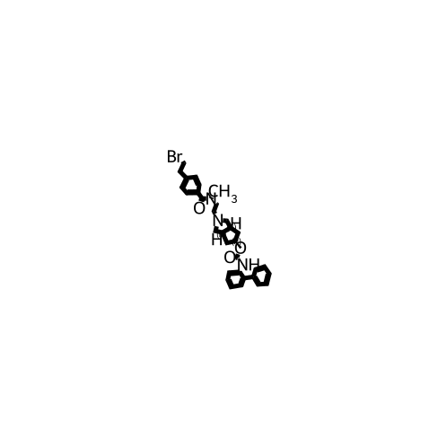 CN(CCN1C[C@H]2C[C@@H](OC(=O)Nc3ccccc3-c3ccccc3)C[C@H]2C1)C(=O)c1ccc(CCBr)cc1